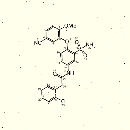 COc1ccc(C#N)cc1Oc1ccc(NC(=O)Cc2ccccc2Cl)cc1S(N)(=O)=O